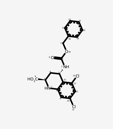 O=C(N[C@H]1C[C@H](C(=O)O)Nc2cc(Cl)cc(Cl)c21)OCc1ccccc1